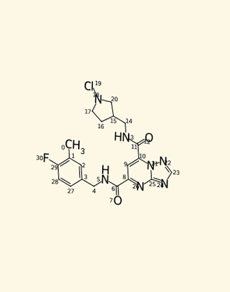 Cc1cc(CNC(=O)c2cc(C(=O)NCC3CCN(Cl)C3)n3ncnc3n2)ccc1F